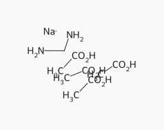 CC(=O)O.CC(=O)O.CC(=O)O.CC(=O)O.NCN.[Na]